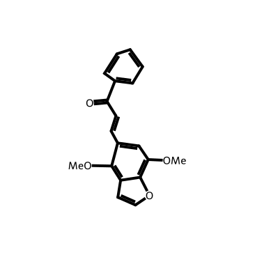 COc1c(/C=C/C(=O)c2ccccc2)cc(OC)c2occc12